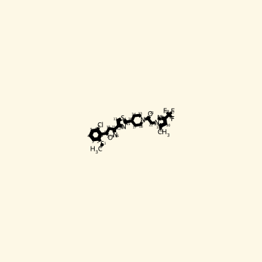 CSc1cccc(Cl)c1C1CC(c2csc(C3CCN(C(=O)Cn4nc(C(F)(F)F)cc4C)CC3)n2)=NO1